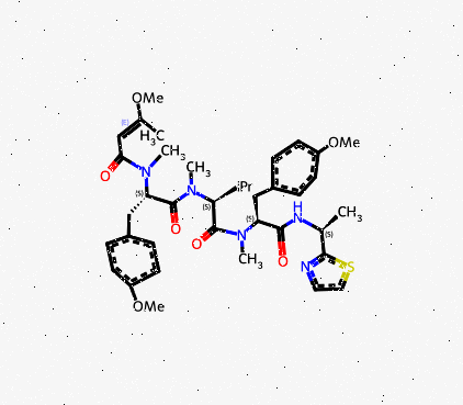 CO/C(C)=C/C(=O)N(C)[C@@H](Cc1ccc(OC)cc1)C(=O)N(C)[C@H](C(=O)N(C)[C@@H](Cc1ccc(OC)cc1)C(=O)N[C@@H](C)c1nccs1)C(C)C